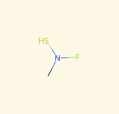 CN(F)S